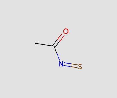 CC(=O)N=S